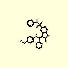 CSc1ccc(NC(=C2C(=O)Nc3ccc(S(=O)(=O)Nc4ccccc4)cc32)c2ccccc2)cc1